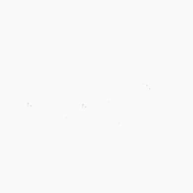 Cc1cccc(C#CC=C2CCN(S(=O)(=O)c3ccc(C)c([N+](=O)[O-])c3)CC2)n1